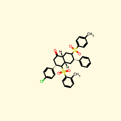 Cc1ccc(S(=O)(=O)C2C[C@H]3C(=O)C[C@@H](c4ccc(Cl)cc4)C(S(=O)(=O)c4ccccc4C)[C@H]3C[C@H]2c2ccccc2)cc1